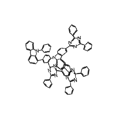 c1ccc(-c2nc(-c3ccccc3)nc(-c3ccc4c(c3)c3cc(-c5nc(-c6ccccc6)nc(-c6ccccc6)n5)ccc3n4-c3ccc(-c4cccc5c6ccccc6n(-c6ccccc6)c45)cc3-c3nc(-c4ccccc4)nc(-c4ccccc4)n3)n2)cc1